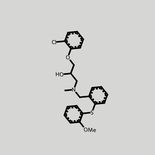 COc1ccccc1Sc1ccccc1CN(C)CC(O)COc1ccccc1Cl